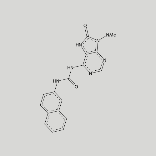 CNn1c(=O)[nH]c2c(NC(=O)Nc3ccc4ccccc4c3)ncnc21